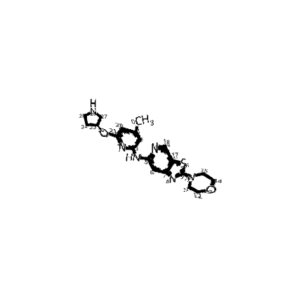 Cc1cc(Nc2cc3nc(N4CCOCC4)sc3cn2)nc(O[C@H]2CCNC2)c1